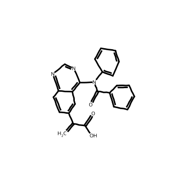 C=C(C(=O)O)c1ccc2ncnc(N(C(=O)c3ccccc3)c3ccccc3)c2c1